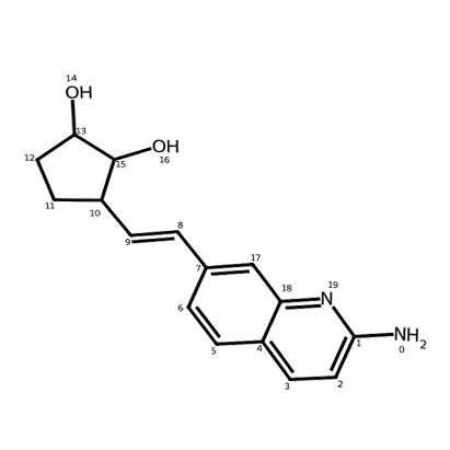 Nc1ccc2ccc(/C=C/C3CCC(O)C3O)cc2n1